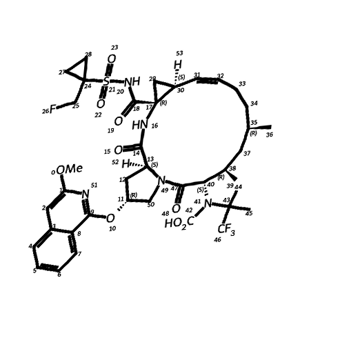 COc1cc2ccccc2c(O[C@@H]2C[C@H]3C(=O)N[C@]4(C(=O)NS(=O)(=O)C5(CF)CC5)C[C@H]4C=CCC[C@@H](C)C[C@@H](C)[C@H](N(C(=O)O)C(C)(C)C(F)(F)F)C(=O)N3C2)n1